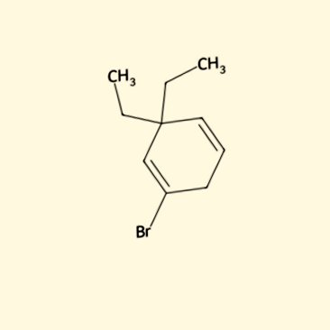 CCC1(CC)C=CCC(Br)=C1